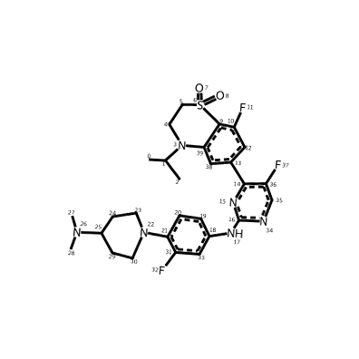 CC(C)N1CCS(=O)(=O)c2c(F)cc(-c3nc(Nc4ccc(N5CCC(N(C)C)CC5)c(F)c4)ncc3F)cc21